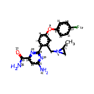 CC1CN1Cc1cc(Oc2ccc(F)cc2)ccc1-c1nc(N)cc(C(N)=O)n1